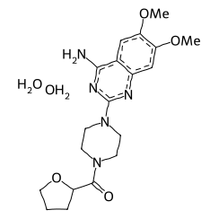 COc1cc2nc(N3CCN(C(=O)C4CCCO4)CC3)nc(N)c2cc1OC.O.O